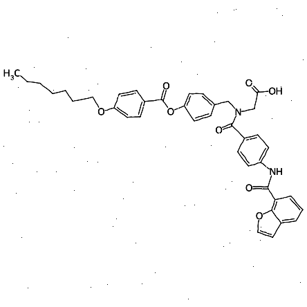 CCCCCCCOc1ccc(C(=O)Oc2ccc(CN(CC(=O)O)C(=O)c3ccc(NC(=O)c4cccc5ccoc45)cc3)cc2)cc1